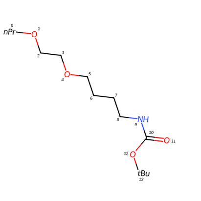 CCCOCCOCCCCNC(=O)OC(C)(C)C